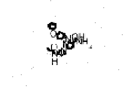 C=CC(=O)N[C@H]1CCN(c2ccc(C(N)O)c(Nc3ccc(Oc4ccccc4)cc3)n2)C1